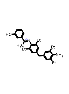 CCc1cc(Cc2cc(CC)c(/N=C(\C)c3cccc(O)c3)c(CC)c2)cc(CC)c1N